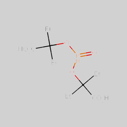 CCC(CC)(O[PH](=O)OC(CC)(CC)C(=O)O)C(=O)O